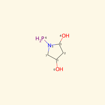 OC1CC(O)N(P)C1